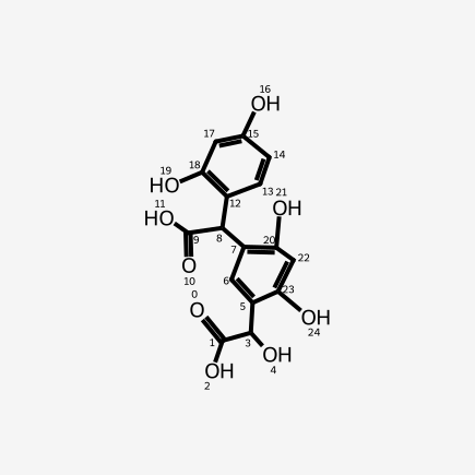 O=C(O)C(O)c1cc(C(C(=O)O)c2ccc(O)cc2O)c(O)cc1O